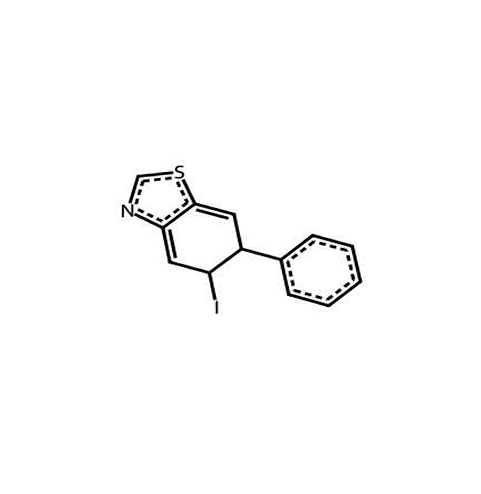 IC1C=c2ncsc2=CC1c1ccccc1